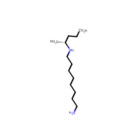 NCCCCCCCCN[C@@H](CCC(=O)O)C(=O)O